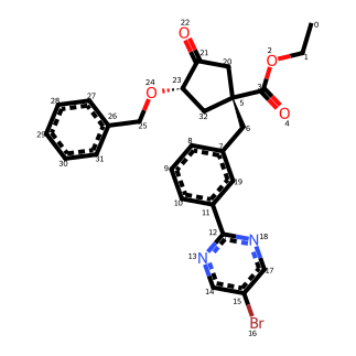 CCOC(=O)[C@@]1(Cc2cccc(-c3ncc(Br)cn3)c2)CC(=O)[C@@H](OCc2ccccc2)C1